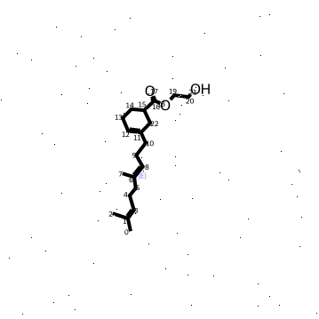 CC(C)=CCC/C(C)=C/CCC1=CCCC(C(=O)OCCO)C1